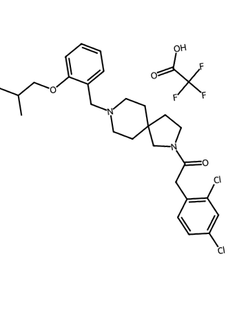 CC(C)COc1ccccc1CN1CCC2(CC1)CCN(C(=O)Cc1ccc(Cl)cc1Cl)C2.O=C(O)C(F)(F)F